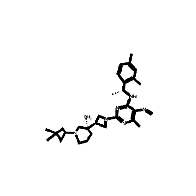 B[C@]1(C2CN(c3nc(C)c(N=C)c(N[C@H](C)c4ccc(C)cc4C)n3)C2)CCCN(C2CC(C)(C)C2)C1